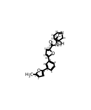 Cc1ccc(-c2cccc(-c3ccc(C(=O)N[C@H]4CN5CCC4CC5)o3)c2)o1